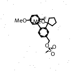 COc1ccc(F)c(-c2ccc(COS(C)(=O)=O)cc2C2(OC)CCCC2)c1